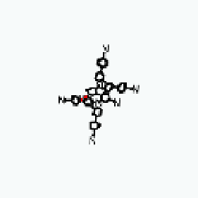 N#Cc1ccc(-c2ccc3c(c2)c2cc(-c4ccc(C#N)cc4)ccc2n3-c2ccc(C#N)cc2-c2ccc(C#N)cc2-n2c3ccc(-c4ccc(C#N)cc4)cc3c3cc(-c4ccc(C#N)cc4)ccc32)cc1